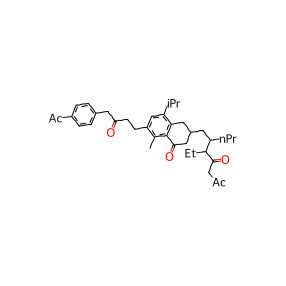 CCCC(CC1CC(=O)c2c(C)c(CCC(=O)Cc3ccc(C(C)=O)cc3)cc(C(C)C)c2C1)C(CC)C(=O)CC(C)=O